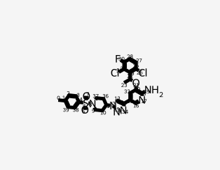 Cc1ccc(S(=O)(=O)N2CCC(n3cc(-c4cnc(N)c(OC(C)c5c(Cl)ccc(F)c5Cl)c4)nn3)CC2)cc1